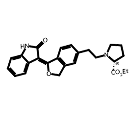 CCOC(=O)[C@H]1CCCN1CCc1ccc2c(c1)COC2=C1C(=O)Nc2ccccc21